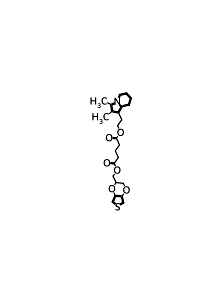 Cc1c(CCOC(=O)CCCC(=O)OCC2COc3cscc3O2)c2ccccn2c1C